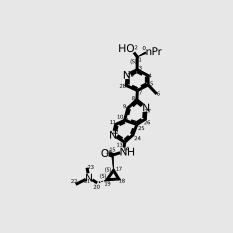 CCC[C@H](O)c1cc(C)c(-c2cc3cnc(NC(=O)[C@H]4C[C@@H]4CN(C)C)cc3cn2)cn1